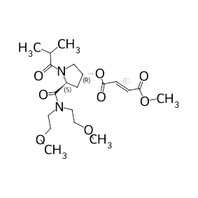 COCCN(CCOC)C(=O)[C@@H]1C[C@@H](OC(=O)/C=C/C(=O)OC)CN1C(=O)C(C)C